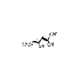 CN/C=C(\S)C=C(C#N)C#N